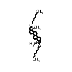 CCCCCCCCOc1cc2ccc3c4ccc5c(ccc6cc(OCCCCCCCC)n(C)c65)c4ccc3c2n1C